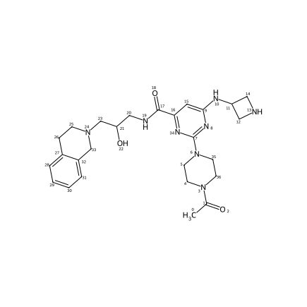 CC(=O)N1CCN(c2nc(NC3CNC3)cc(C(=O)NCC(O)CN3CCc4ccccc4C3)n2)CC1